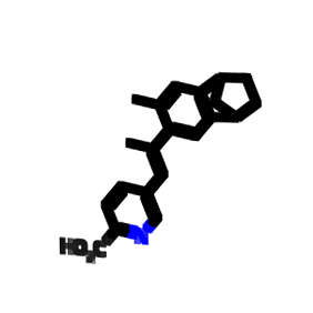 C/C(=C\c1ccc(C(=O)O)nc1)c1cc2c(cc1C)C1CCC2C1